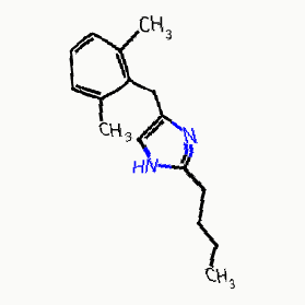 CCCCc1nc(Cc2c(C)cccc2C)c[nH]1